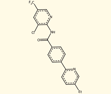 CCc1ccc(-c2ccc(C(=O)Nc3ncc(C(F)(F)F)cc3Cl)cc2)nc1